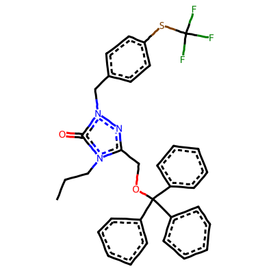 CCCn1c(COC(c2ccccc2)(c2ccccc2)c2ccccc2)nn(Cc2ccc(SC(F)(F)F)cc2)c1=O